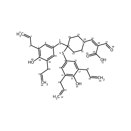 C=CCc1cc(SC2(Sc3cc(CC=C)c(O)c(CC=C)c3)CCN(C=C([C]=O)C(=O)O)CC2)cc(CC=C)c1O